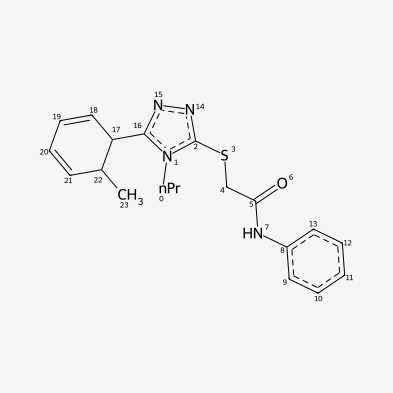 CCCn1c(SCC(=O)Nc2ccccc2)nnc1C1C=CC=CC1C